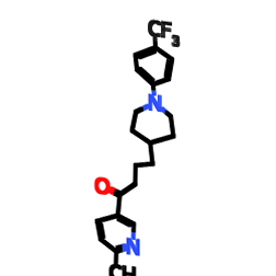 Cc1ccc(C(=O)CCCC2CCN(c3ccc(C(F)(F)F)cc3)CC2)cn1